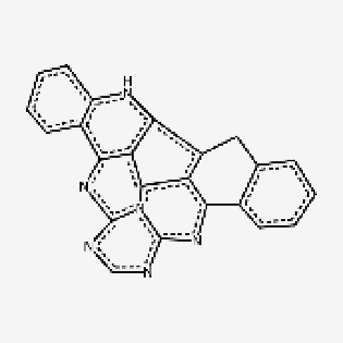 c1ccc2c(c1)Cc1c3[nH]c4ccccc4c4nc5ncnc6nc-2c1c(c34)n65